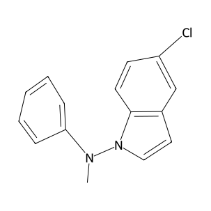 CN(c1ccccc1)n1ccc2cc(Cl)ccc21